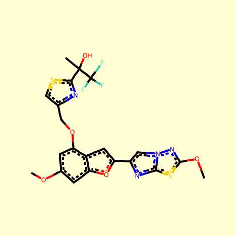 COc1cc(OCc2csc(C(C)(O)C(F)(F)F)n2)c2cc(-c3cn4nc(OC)sc4n3)oc2c1